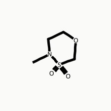 CN1CCOCS1(=O)=O